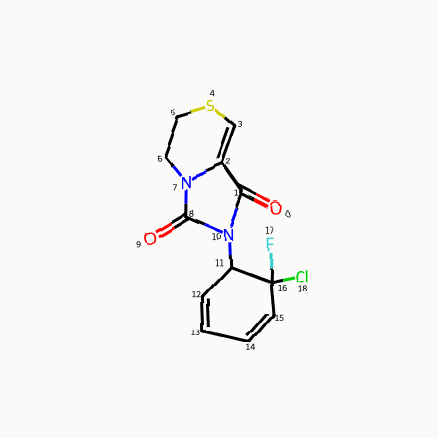 O=C1C2=CSCCN2C(=O)N1C1C=CC=CC1(F)Cl